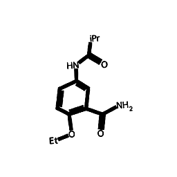 CCOc1ccc(NC(=O)C(C)C)cc1C(N)=O